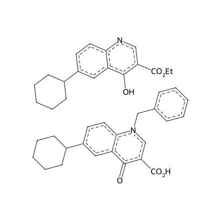 CCOC(=O)c1cnc2ccc(C3CCCCC3)cc2c1O.O=C(O)c1cn(Cc2ccccc2)c2ccc(C3CCCCC3)cc2c1=O